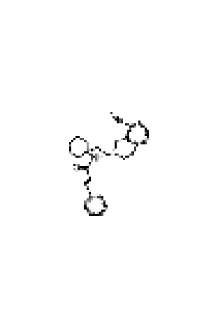 N#Cc1cccc2c1CN(CCC1(NC(=O)C=Cc3ccccc3)CCCCC1)CC2